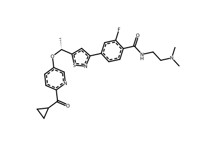 C[C@@H](Oc1ccc(C(=O)C2CC2)nc1)c1cc(-c2ccc(C(=O)NCCN(C)C)c(F)c2)ns1